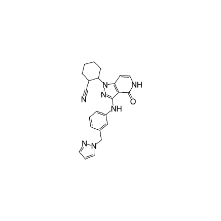 N#CC1CCCCC1n1nc(Nc2cccc(Cn3cccn3)c2)c2c(=O)[nH]ccc21